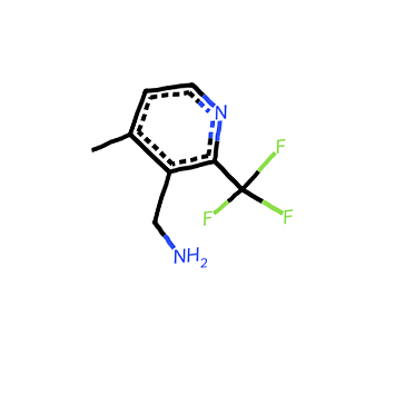 Cc1ccnc(C(F)(F)F)c1CN